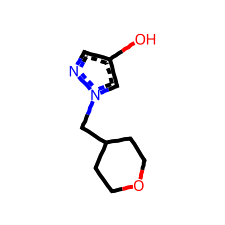 Oc1cnn(CC2CCOCC2)c1